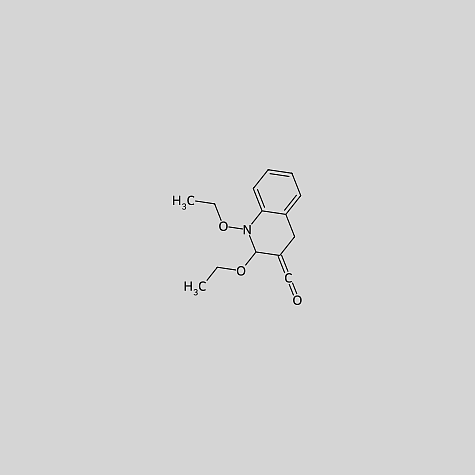 CCOC1C(=C=O)Cc2ccccc2N1OCC